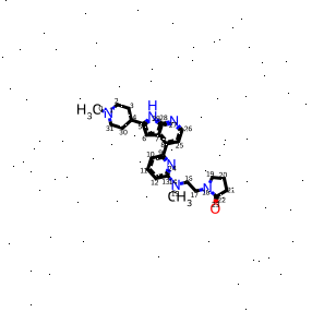 CN1CCC(c2cc3c(-c4cccc(N(C)CCN5CCCC5=O)n4)ccnc3[nH]2)CC1